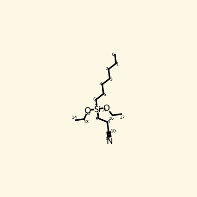 CCCCCCC[Si](CCC#N)(OCC)OCC